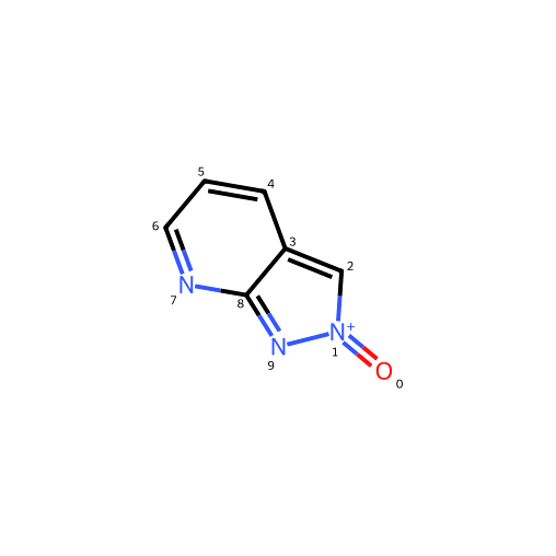 O=[N+]1C=c2cccnc2=N1